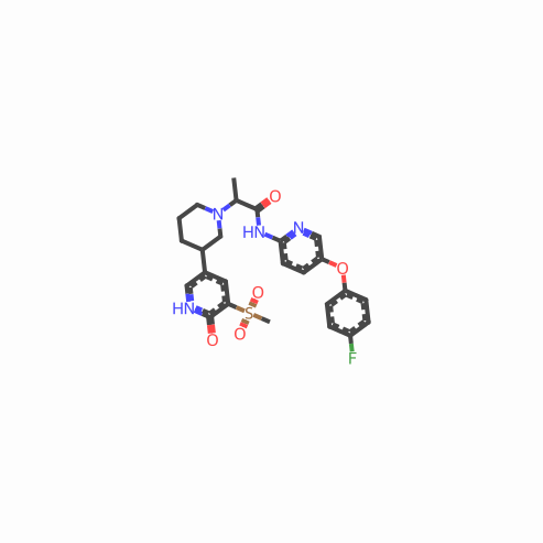 CC(C(=O)Nc1ccc(Oc2ccc(F)cc2)cn1)N1CCCC(c2c[nH]c(=O)c(S(C)(=O)=O)c2)C1